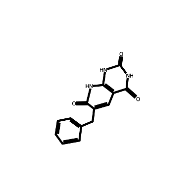 O=c1[nH]c(=O)c2cc(Cc3ccccc3)c(=O)[nH]c2[nH]1